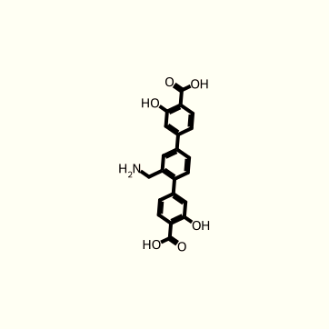 NCc1cc(-c2ccc(C(=O)O)c(O)c2)ccc1-c1ccc(C(=O)O)c(O)c1